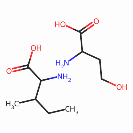 CCC(C)C(N)C(=O)O.NC(CCO)C(=O)O